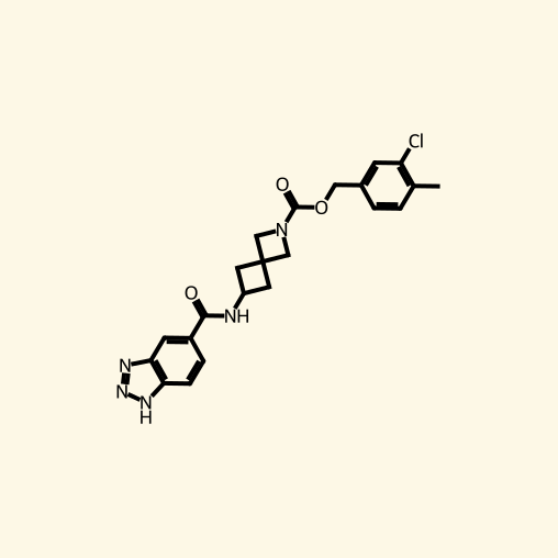 Cc1ccc(COC(=O)N2CC3(CC(NC(=O)c4ccc5[nH]nnc5c4)C3)C2)cc1Cl